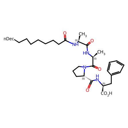 CCCCCCCCCCCCCCCCCC(=O)N[C@@H](C)C(=O)N[C@@H](C)C(=O)N1CCC[C@H]1C(=O)N[C@@H](Cc1ccccc1)C(=O)O